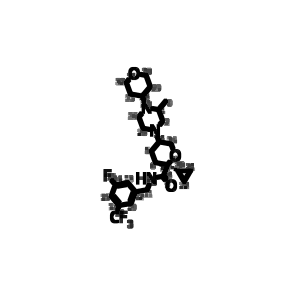 CC1CN(C2CC[C@@](C(=O)NCc3cc(F)cc(C(F)(F)F)c3)(C3CC3)OC2)CCN1C1CCOCC1